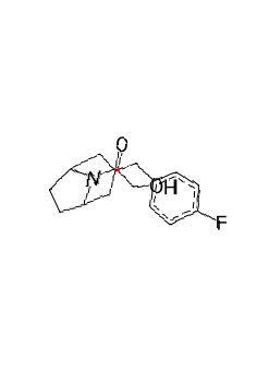 O=C(CO)N1C2CCC1CC(Cc1ccc(F)cc1)C2